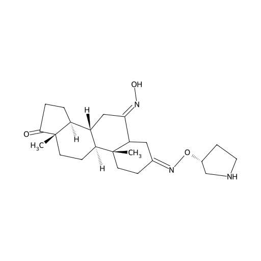 C[C@]12CC/C(=N/O[C@@H]3CCNC3)CC1/C(=N/O)C[C@@H]1[C@@H]2CC[C@]2(C)C(=O)CC[C@@H]12